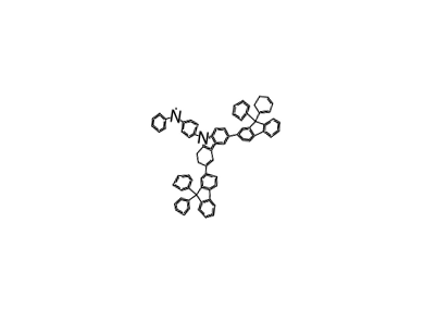 CN(c1ccccc1)c1ccc(-n2c3c(c4cc(-c5ccc6c(c5)C(C5=CC=CCC5)(c5ccccc5)c5ccccc5-6)ccc42)C=C(c2ccc4c(c2)C(c2ccccc2)(c2ccccc2)c2ccccc2-4)CC3)cc1